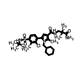 Cc1c(S(=O)(=O)NC(C)(C)C)ccc(-c2cc(C(=O)NCC(C)(C)C(N)=O)c(C)n2CC2CCCCC2)c1Cl